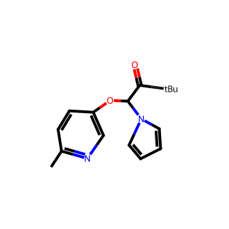 Cc1ccc(OC(C(=O)C(C)(C)C)n2cccc2)cn1